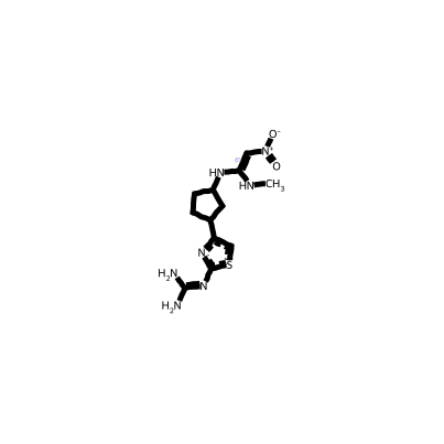 CN/C(=C\[N+](=O)[O-])NC1CCC(c2csc(N=C(N)N)n2)C1